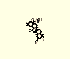 CC1(C)CCC2(C(=O)NO)CCC3(C)C(C(=O)C=C4C5(C)C=C(C#N)C(=O)C(C)(C)C5CCC43C)C2C1